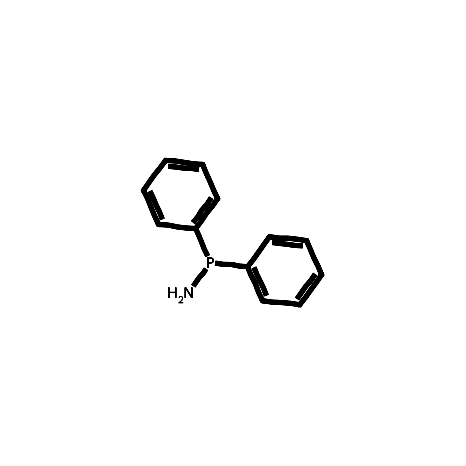 NP(c1ccccc1)c1ccccc1